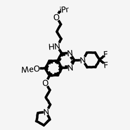 COc1cc2c(NCCCOC(C)C)nc(N3CCC(F)(F)CC3)nc2cc1OCCCN1CCCC1